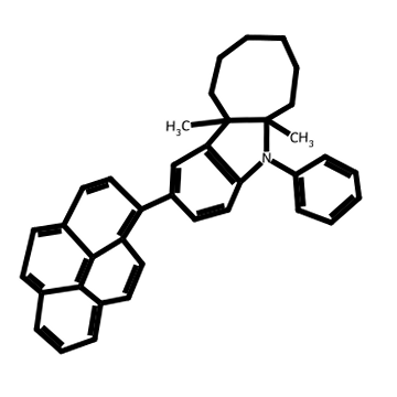 CC12CCCCCCC1(C)N(c1ccccc1)c1ccc(-c3ccc4ccc5cccc6ccc3c4c56)cc12